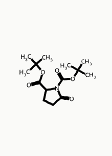 CC(C)(C)OC(=O)C1CCC(=O)N1C(=O)OC(C)(C)C